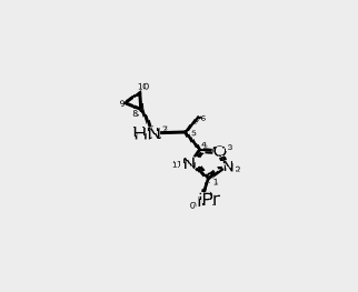 CC(C)c1noc(C(C)NC2CC2)n1